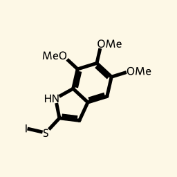 COc1cc2cc(SI)[nH]c2c(OC)c1OC